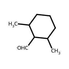 CC1CCCC(C)C1[C]=O